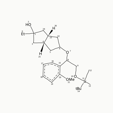 CCC1(O)C[C@H]2CC(OC(CO[Si](C)(C)C(C)(C)C)c3ccccc3OC)C[C@H]2C1